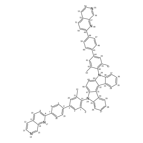 Cc1cc(-c2ccc(-c3ccc4ccncc4n3)cc2)cc(C)c1-n1c2ccccc2c2c3c4ccccc4n(-c4c(C)cc(-c5ccc(-c6ccc7ccncc7n6)cc5)cc4C)c3ccc21